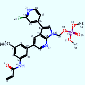 C=CC(=O)Nc1cc(OC)cc(-c2cnc3c(c2)c(-c2ccnc(F)c2)cn3COP(=O)(OCC)OCC)c1